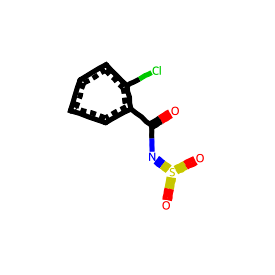 O=C(N=S(=O)=O)c1ccccc1Cl